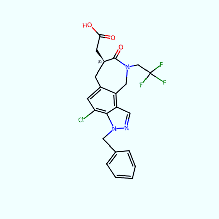 O=C(O)C[C@@H]1Cc2cc(Cl)c3c(cnn3Cc3ccccc3)c2CN(CC(F)(F)F)C1=O